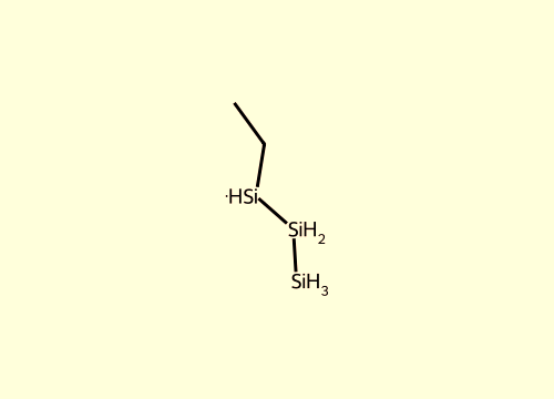 CC[SiH][SiH2][SiH3]